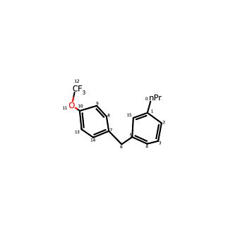 CCCc1cccc(Cc2ccc(OC(F)(F)F)cc2)c1